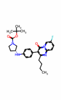 CCCCc1nc2ccc(F)cn2c(=O)c1-c1ccc(N[C@@H]2CCN(C(=O)OC(C)(C)C)C2)cc1